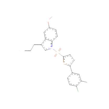 CCOc1ccc2c(c1)c(CCC(=O)O)cn2S(=O)(=O)c1ccc(-c2ccc(Cl)c(C(F)(F)F)c2)s1